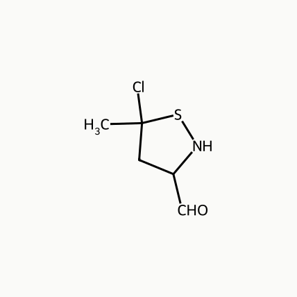 CC1(Cl)CC(C=O)NS1